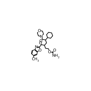 Cc1ccc2nc(C(=O)C(CCOC(N)=O)CC(C(=O)N3CCOCC3)C3CCCCC3)oc2c1